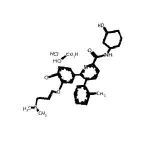 Cc1ccccc1-c1ccc(C(=O)NC2CCCC(O)C2)nc1-c1ccc(Cl)c(OCCCN(C)C)c1.Cl.O=C(O)O